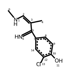 CN/C=C(/C)C(=N)c1ccc(O)c(Cl)c1